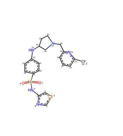 O=S(=O)(Nc1cscn1)c1ccc(NC2CCN(Cc3cccc(C(F)(F)F)n3)C2)cc1